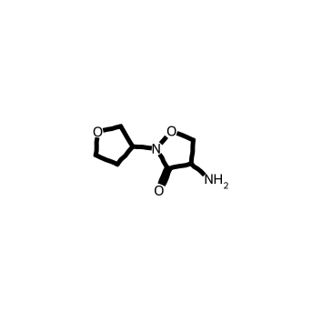 NC1CON(C2CCOC2)C1=O